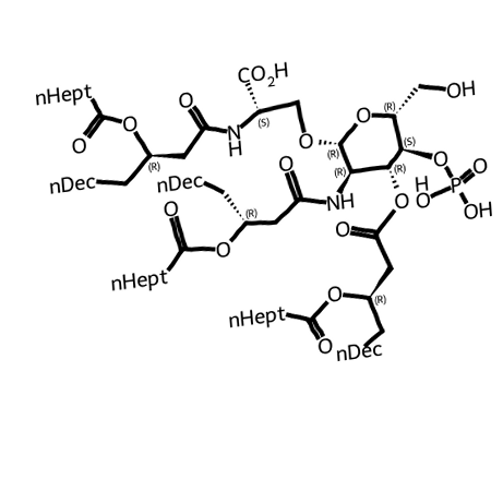 CCCCCCCCCCC[C@H](CC(=O)N[C@H]1[C@H](OC[C@H](NC(=O)C[C@@H](CCCCCCCCCCC)OC(=O)CCCCCCC)C(=O)O)O[C@H](CO)[C@@H](OP(=O)(O)O)[C@@H]1OC(=O)C[C@@H](CCCCCCCCCCC)OC(=O)CCCCCCC)OC(=O)CCCCCCC